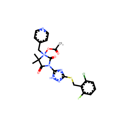 CC1(C)C(=O)N(c2nc(SCc3c(F)cccc3Cl)n[nH]2)C(=O)[N+]1(Cc1ccncc1)OC(=O)C(F)(F)F